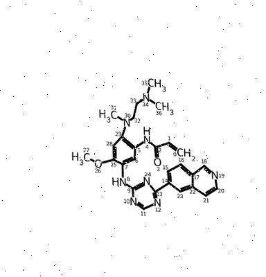 C=CC(=O)Nc1cc(Nc2ncnc(-c3ccc4cnccc4c3)n2)c(OC)cc1N(C)CCN(C)C